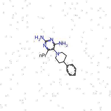 CCCc1nc(N)nc(N)c1N1CCC(c2ccccc2)CC1